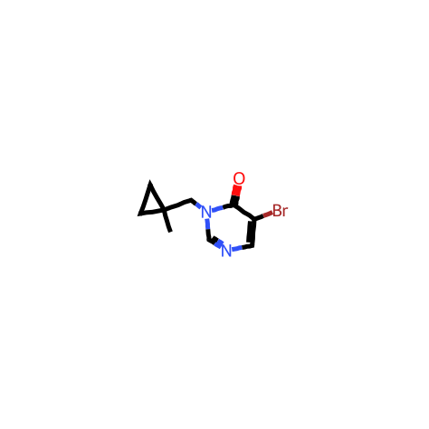 CC1(Cn2cncc(Br)c2=O)CC1